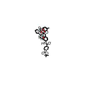 COC(=O)[C@](C)(Cc1ccc(NC(=O)C2CCN(C(=O)OC(C)(C)C)CC2)cc1)n1nnnc1C1CCCN1S(=O)(=O)c1ccc(C)cc1